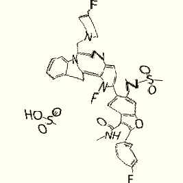 CNC(=O)c1c(-c2ccc(F)cc2)oc2cc(N(C)S(C)(=O)=O)c(C3=CC=C4N=C(CN5CC(F)C5)N5C(=C4N3F)Cc3ccccc35)cc12.CS(=O)(=O)O